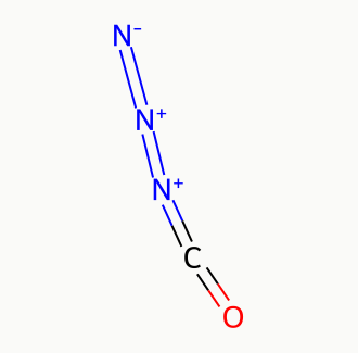 [N-]=[N+]=[N+]=C=O